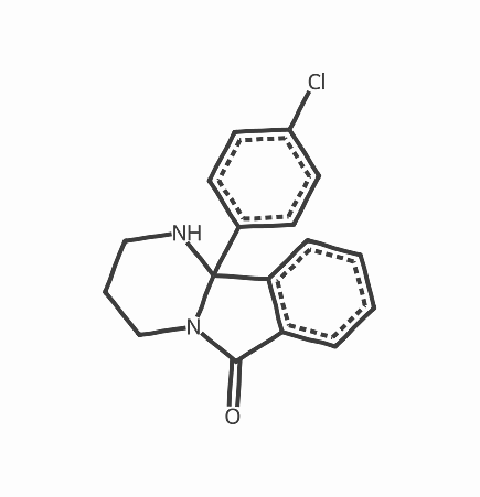 O=C1c2ccccc2C2(c3ccc(Cl)cc3)NCCCN12